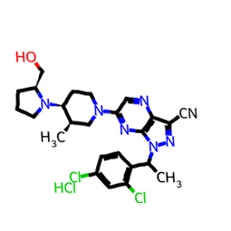 CC(c1ccc(Cl)cc1Cl)n1nc(C#N)c2ncc(N3CC[C@H](N4CCC[C@H]4CO)[C@H](C)C3)nc21.Cl